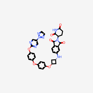 O=C1CCC(N2C(=O)c3ccc(N[C@H]4C[C@H](Oc5ccc(Oc6ccc(Oc7ncc(-n8nccn8)cn7)cc6)cc5)C4)cc3C2=O)C(=O)N1